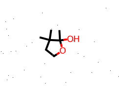 CC1(C)CCOC1(C)O